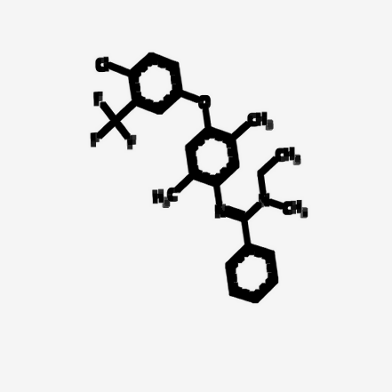 CCN(C)C(=Nc1cc(C)c(Oc2ccc(Cl)c(C(F)(F)F)c2)cc1C)c1ccccc1